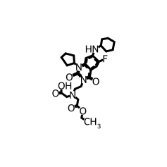 CCOC(=O)CN(CCn1c(=O)c2cc(F)c(NC3CCCCC3)cc2n(C2CCCC2)c1=O)CC(=O)O